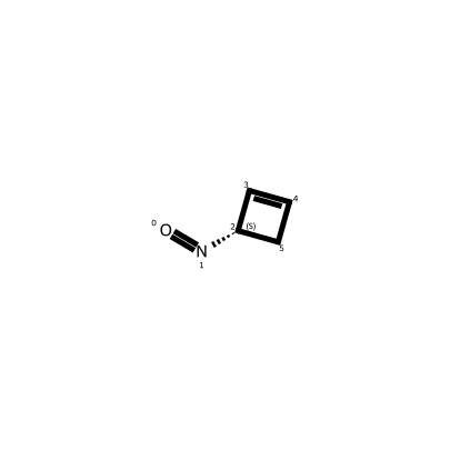 O=N[C@@H]1C=CC1